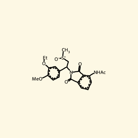 CCOc1cc(C(C[S+](C)[O-])N2C(=O)c3cccc(NC(C)=O)c3C2=O)ccc1OC